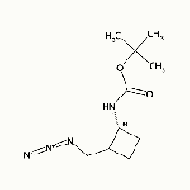 CC(C)(C)OC(=O)N[C@@H]1CCC1CN=[N+]=[N-]